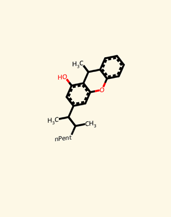 CCCCCC(C)C(C)c1cc(O)c2c(c1)Oc1ccccc1C2C